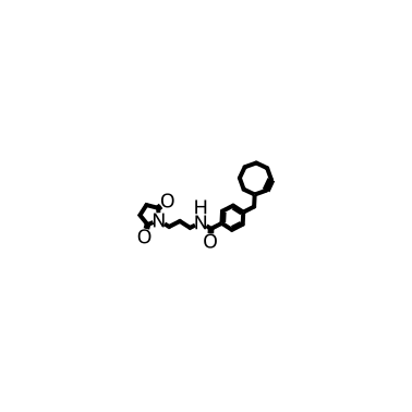 O=C(NCCCN1C(=O)CCC1=O)c1ccc(CC2C#CCCCCC2)cc1